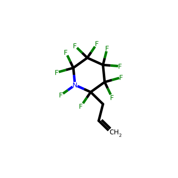 C=CCC1(F)N(F)C(F)(F)C(F)(F)C(F)(F)C1(F)F